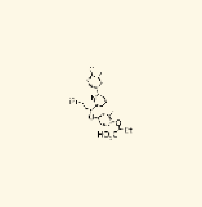 CCC(Oc1ccc(OC(CCC(C)C)c2cccc(-c3ccc(C(F)(F)F)cc3)n2)cc1C)C(=O)O